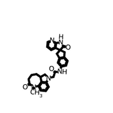 CN1C(=O)CCCC2CN(CC(=O)Nc3ccc4c(c3)CC3(C4)C(=O)Nc4ncccc43)c3cccc1c32